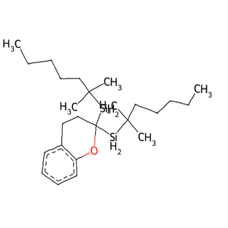 CCCCCC(C)(C)[SiH2]C1([SiH2]C(C)(C)CCCCC)CCc2ccccc2O1